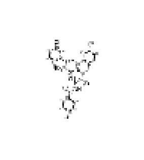 O=C(NNC(=O)C(Cc1ccc(F)cc1)n1ccc(-c2cc(Cl)ccc2[N+](=O)[O-])cc1=O)c1ccc(F)cc1